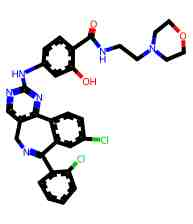 O=C(NCCN1CCOCC1)c1ccc(Nc2ncc3c(n2)-c2ccc(Cl)cc2C(c2ccccc2Cl)=NC3)cc1O